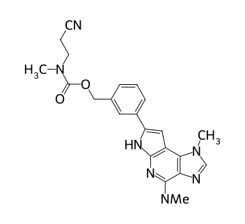 CNc1nc2[nH]c(-c3cccc(COC(=O)N(C)CCC#N)c3)cc2c2c1ncn2C